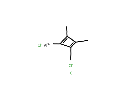 CC1=C(C)C(C)=C1C.[Al+3].[Cl-].[Cl-].[Cl-]